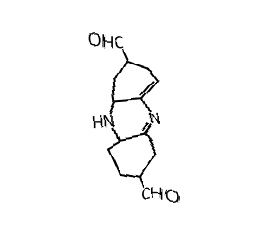 O=CC1CCC2NC3CC(C=O)CC=C3N=C2C1